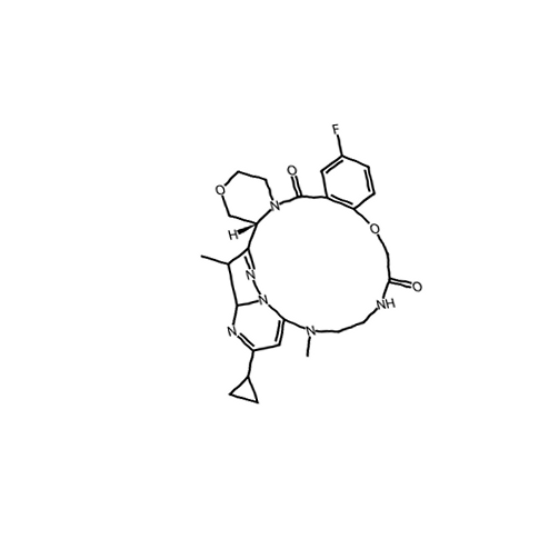 CC1C2=NN3C(=CC(C4CC4)=NC13)N(C)CCNC(=O)COc1ccc(F)cc1C(=O)N1CCOC[C@@H]21